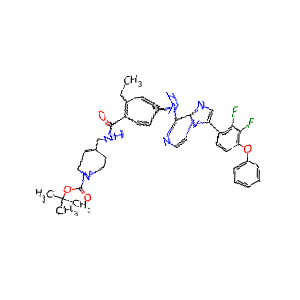 CCc1cc(Nc2nccn3c(-c4ccc(Oc5ccccc5)c(F)c4F)cnc23)ccc1C(=O)NCC1CCN(C(=O)OC(C)(C)C)CC1